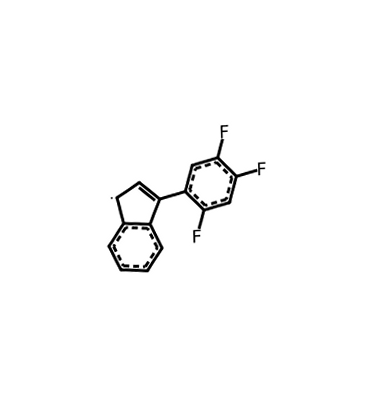 Fc1cc(F)c(C2=C[CH]c3ccccc32)cc1F